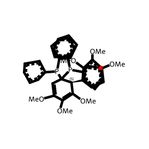 COC1=CC(P(c2ccccc2)c2ccccc2)(P(c2ccccc2)c2ccccc2)[C@@H](c2ccc(OC)c(OC)c2OC)C(OC)=C1OC